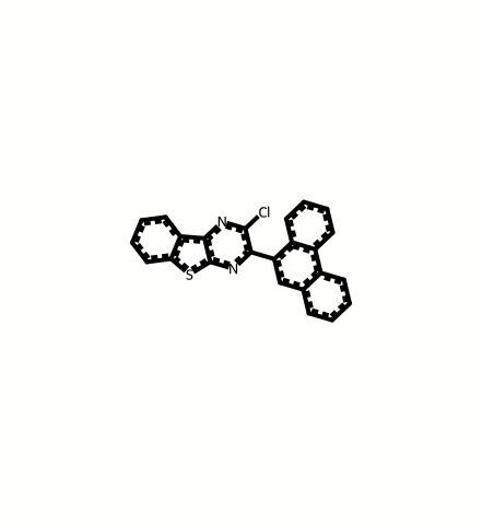 Clc1nc2c(nc1-c1cc3ccccc3c3ccccc13)sc1ccccc12